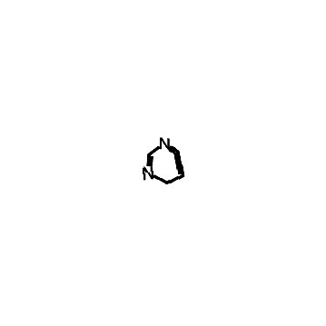 C1=CCN=CN=1